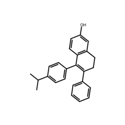 CC(C)c1ccc(C2=C(c3ccccc3)CCc3cc(O)ccc32)cc1